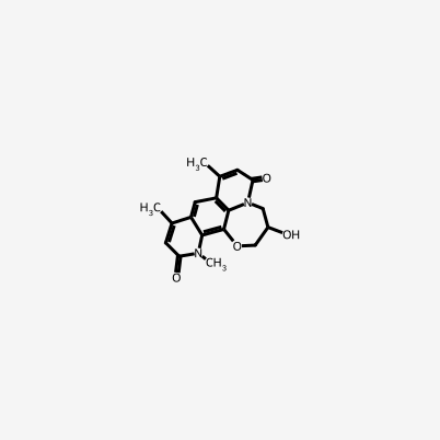 Cc1cc(=O)n(C)c2c3c4c(cc12)c(C)cc(=O)n4CC(O)CO3